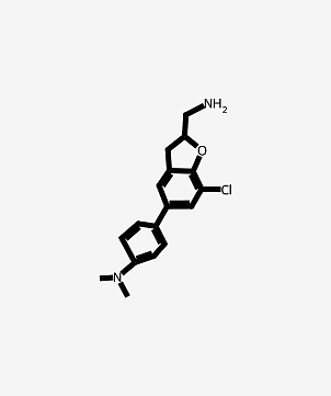 CN(C)c1ccc(-c2cc(Cl)c3c(c2)CC(CN)O3)cc1